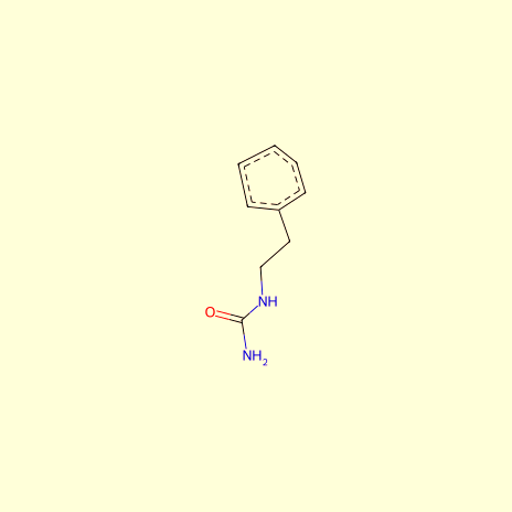 NC(=O)NCCc1ccccc1